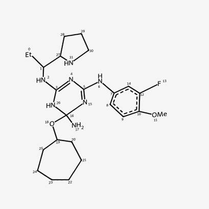 CCC(NC1=NC(Nc2ccc(OC)c(F)c2)=NC(N)(OC2CCCCCC2)N1)C1CCCN1